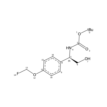 CC(C)(C)OC(=O)N[C@@H](CO)c1ccc(OCF)cc1